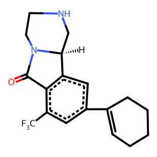 O=C1c2c(cc(C3=CCCCC3)cc2C(F)(F)F)[C@@H]2CNCCN12